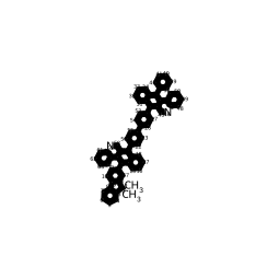 CC1(C)c2ccccc2-c2ccc(-c3c4ccccc4c(-c4ccc(-c5ccc(-c6c7ccccc7c(-c7ccccc7)c7c6cnc6ccccc67)cc5)cc4)c4cnc5ccccc5c34)cc21